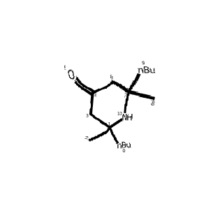 CCCCC1(C)CC(=O)CC(C)(CCCC)N1